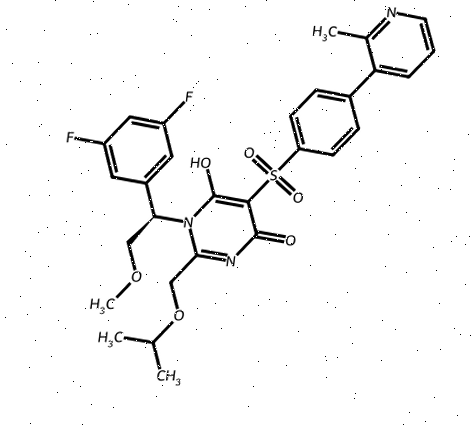 COC[C@@H](c1cc(F)cc(F)c1)n1c(COC(C)C)nc(=O)c(S(=O)(=O)c2ccc(-c3cccnc3C)cc2)c1O